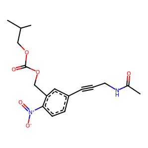 CC(=O)NCC#Cc1ccc([N+](=O)[O-])c(COC(=O)OCC(C)C)c1